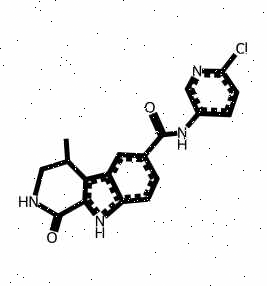 CC1CNC(=O)c2[nH]c3ccc(C(=O)Nc4ccc(Cl)nc4)cc3c21